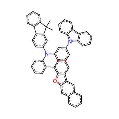 CC1(C)c2ccccc2-c2ccc(N(c3cccc(-n4c5ccccc5c5ccccc54)c3)c3ccccc3-c3cccc4c3oc3cc5ccccc5cc34)cc21